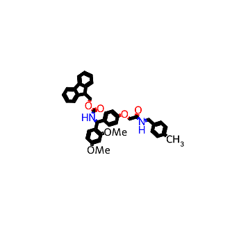 COc1ccc(C(NC(=O)OCC2c3ccccc3-c3ccccc32)c2ccc(OCC(=O)NCc3ccc(C)cc3)cc2)c(OC)c1